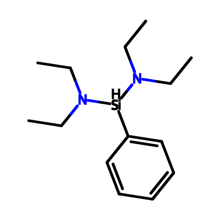 CCN(CC)[SiH](c1ccccc1)N(CC)CC